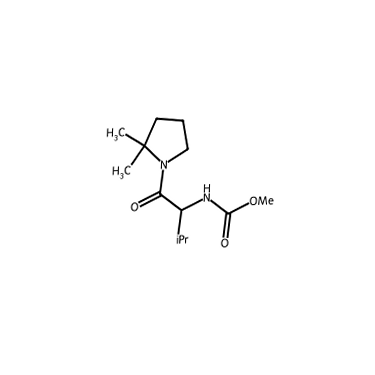 COC(=O)NC(C(=O)N1CCCC1(C)C)C(C)C